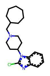 Clc1nc2ccccc2n1C1CCN(CC2CCCCCC2)CC1